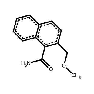 COCc1ccc2ccccc2c1C(N)=O